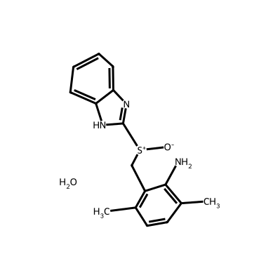 Cc1ccc(C)c(C[S+]([O-])c2nc3ccccc3[nH]2)c1N.O